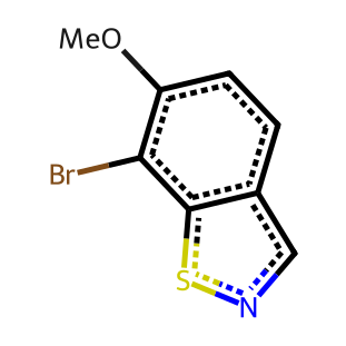 COc1ccc2cnsc2c1Br